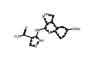 COc1ccc2nc(Nc3[nH]ncc3C(N)=O)c3n[nH]cc3c2c1